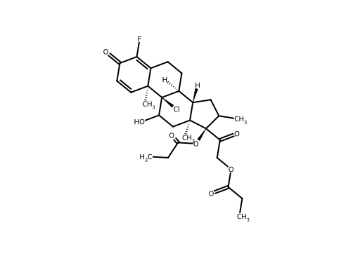 CCC(=O)OCC(=O)[C@@]1(OC(=O)CC)C(C)C[C@H]2[C@@H]3CCC4=C(F)C(=O)C=C[C@]4(C)[C@@]3(Cl)C(O)C[C@@]21C